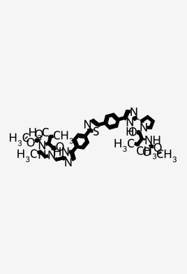 CCCN(Cc1ncc(-c2ccc(-c3ncc(-c4ccc(-c5cnc([C@@H]6CCCN6C(=O)[C@@H](NC(=O)OC)C(C)C)[nH]5)cc4)s3)cc2)[nH]1)C(=O)C(NC(=O)OC)C(C)C